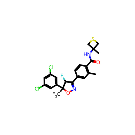 Cc1cc(C2=NOC(c3cc(Cl)cc(Cl)c3)(C(F)(F)F)C2F)ccc1C(=O)NC1(C)CSC1